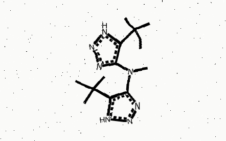 CN(c1nn[nH]c1C(C)(C)C)c1nn[nH]c1C(C)(C)C